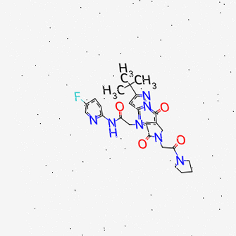 CC(C)(C)c1cc2n(CC(=O)Nc3ccc(F)cn3)c3c(c(=O)n2n1)CN(CC(=O)N1CCCC1)C3=O